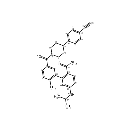 Cc1ccc(C(=O)N2CCC(c3ccc(C#N)nc3)CC2)cc1-c1nc(NC(C)C)ccc1C(N)=O